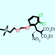 CCOC(=O)C(C(=O)OCC)[C@H](C[N+](=O)[O-])c1c(OCOCC[Si](C)(C)C)ccc(Cl)c1Cl